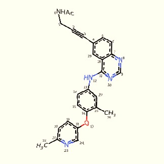 CC(=O)NCC#Cc1ccc2ncnc(Nc3ccc(Oc4ccc(C)nc4)c(C)c3)c2c1